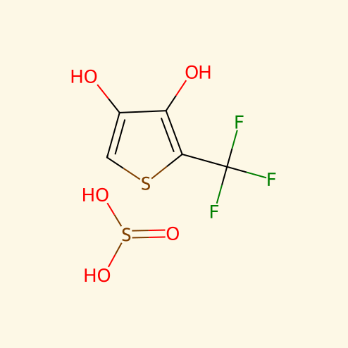 O=S(O)O.Oc1csc(C(F)(F)F)c1O